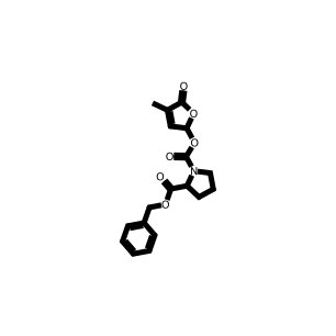 CC1=CC(OC(=O)N2CCCC2C(=O)OCc2ccccc2)OC1=O